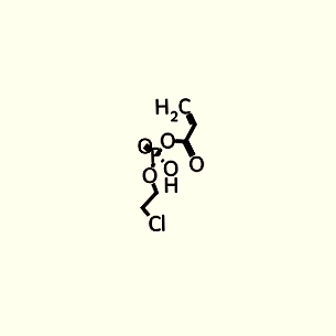 C=CC(=O)OP(=O)(O)OCCCl